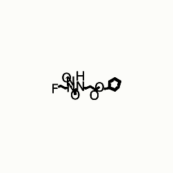 O=NN(CCF)C(=O)NCCC(=O)OCc1ccccc1